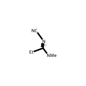 CC/C(=N\C#N)NC